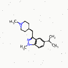 CC(C)c1ccc2c(c1)c(CC1CCN(C)CC1)nn2C